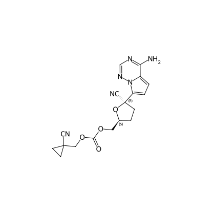 N#CC1(COC(=O)OC[C@@H]2CC[C@](C#N)(c3ccc4c(N)ncnn34)O2)CC1